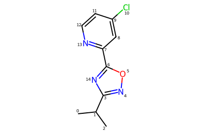 CC(C)c1noc(-c2cc(Cl)ccn2)n1